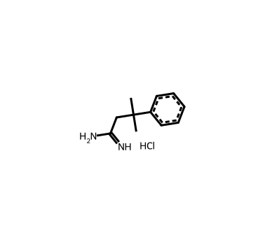 CC(C)(CC(=N)N)c1ccccc1.Cl